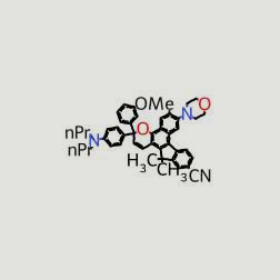 CCCN(CCC)c1ccc(C2(c3ccccc3)C=Cc3c4c(c5cc(N6CCOCC6)c(OC)cc5c3O2)-c2ccc(C#N)cc2C4(C)C)cc1